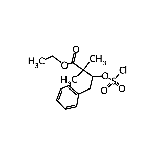 CCOC(=O)C(C)(C)C(Cc1ccccc1)OS(=O)(=O)Cl